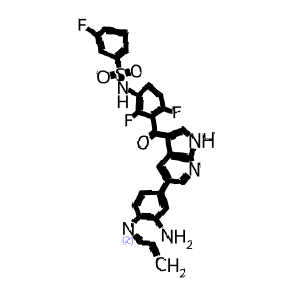 C=C/C=N\c1ccc(-c2cnc3[nH]cc(C(=O)c4c(F)ccc(NS(=O)(=O)c5cccc(F)c5)c4F)c3c2)cc1N